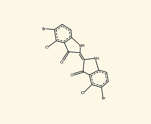 O=C1/C(=C2/Nc3ccc(Br)c(Cl)c3C2=O)Nc2ccc(Br)c(Cl)c21